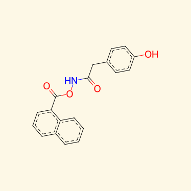 O=C(Cc1ccc(O)cc1)NOC(=O)c1cccc2ccccc12